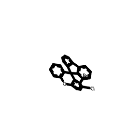 Clc1ccc2c(c1Br)C1(c3ccccc3O2)c2ccccc2-c2ccccc21